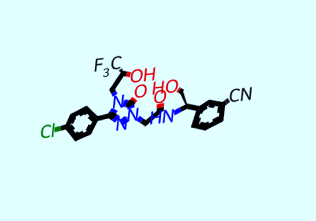 N#Cc1cccc([C@H](CO)NC(=O)Cn2nc(-c3ccc(Cl)cc3)n(C[C@H](O)C(F)(F)F)c2=O)c1